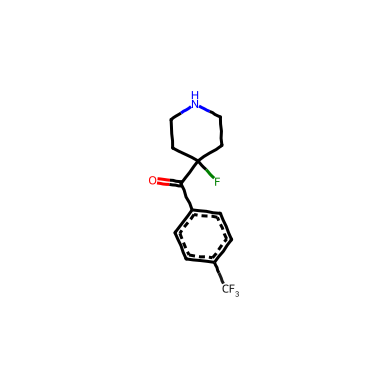 O=C(c1ccc(C(F)(F)F)cc1)C1(F)CCNCC1